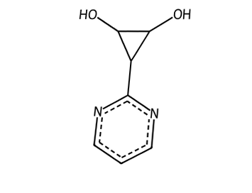 OC1C(O)C1c1ncccn1